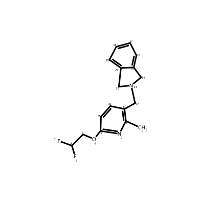 Cc1nc(OCC(F)F)ccc1CN1Cc2ccccc2C1